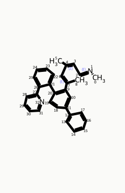 C/N=C/C=C(C)\C=C(/C)c1cc(-c2ccccc2)ccc1-c1ccccc1-c1ccccn1